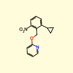 O=[N+]([O-])c1cccc(C2CC2)c1COc1ccccn1